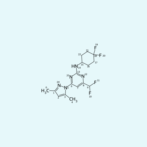 Cc1cc(C)n(-c2cc(C(F)F)nc(NC3CCC(F)(F)CC3)n2)n1